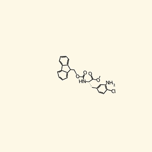 COC(=O)[C@H](Cc1ccc(Cl)c(N)c1)NC(=O)OCC1c2ccccc2-c2ccccc21